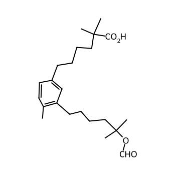 Cc1ccc(CCCCC(C)(C)C(=O)O)cc1CCCCC(C)(C)OC=O